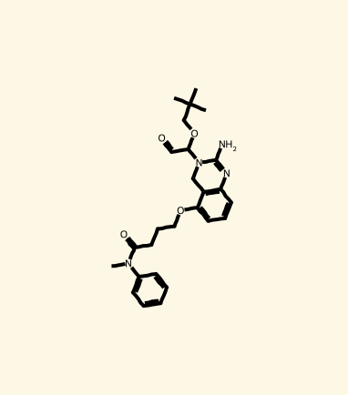 CN(C(=O)CCCOc1cccc2c1CN(C(C=O)OCC(C)(C)C)C(N)=N2)c1ccccc1